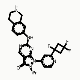 CC(C)n1c(=O)c2cnc(Nc3ccc4c(c3)CNCC4)nc2n1-c1ccnc(C2(F)CC(F)(F)C2)c1